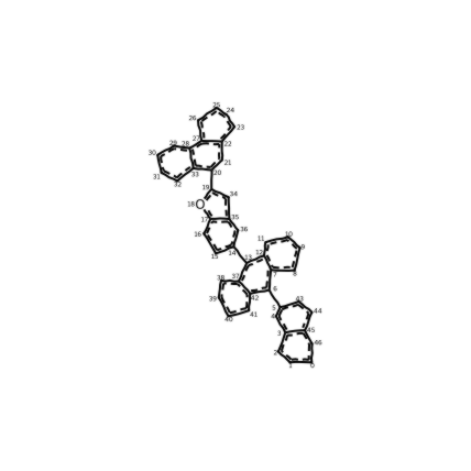 c1ccc2cc(-c3c4ccccc4c(-c4ccc5oc(-c6cc7ccccc7c7ccccc67)cc5c4)c4ccccc34)ccc2c1